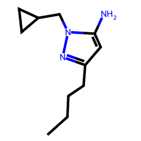 CCCCc1cc(N)n(CC2CC2)n1